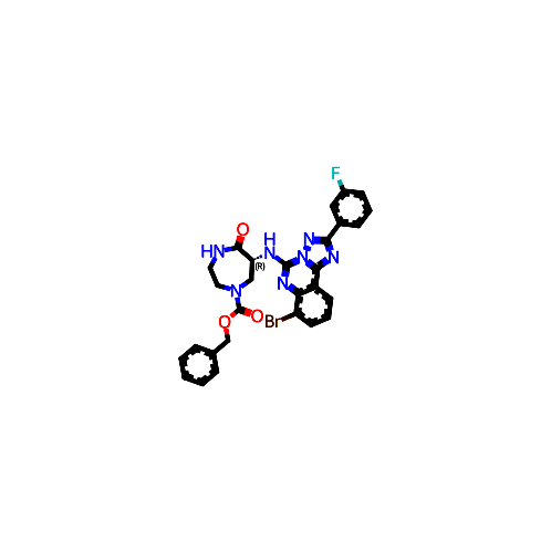 O=C1NCCN(C(=O)OCc2ccccc2)C[C@H]1Nc1nc2c(Br)cccc2c2nc(-c3cccc(F)c3)nn12